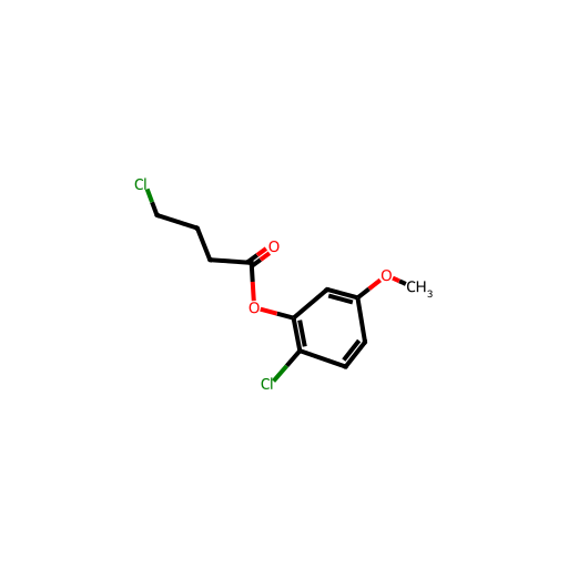 COc1ccc(Cl)c(OC(=O)CCCCl)c1